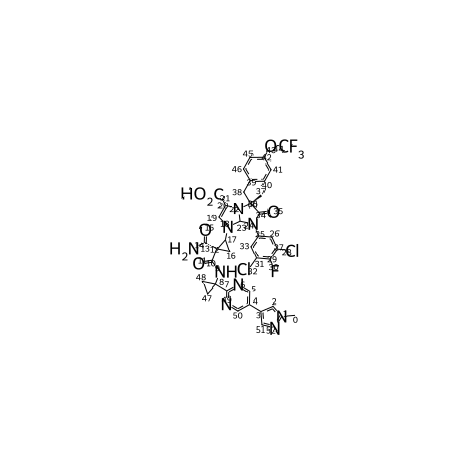 Cn1cc(-c2cnc(C3(NC(=O)C4(C(N)=O)CC4N4C=C(C(=O)O)N5C4N(c4cc(Cl)c(F)c(Cl)c4)C(=O)[C@@]5(C)Cc4ccc(OC(F)(F)F)cc4)CC3)nc2)cn1